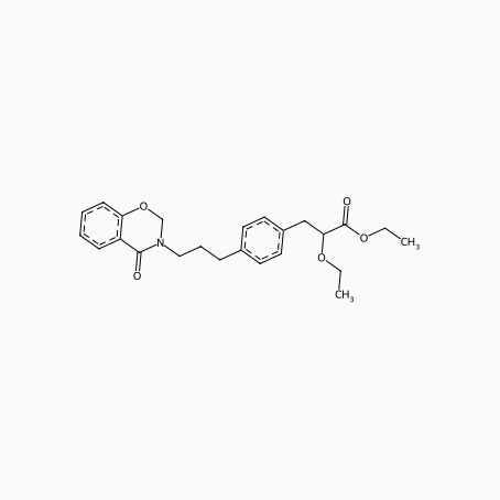 CCOC(=O)C(Cc1ccc(CCCN2COc3ccccc3C2=O)cc1)OCC